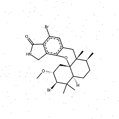 CO[C@@H]1C[C@@]23Oc4c(cc(Br)c5c4CNC5=O)C[C@]2(C)[C@@H](C)CC[C@H]3C(C)(C)[C@H]1Br